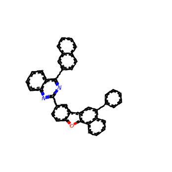 c1ccc(-c2cc3c4cc(-c5nc(-c6ccc7ccccc7c6)c6ccccc6n5)ccc4oc3c3ccccc23)cc1